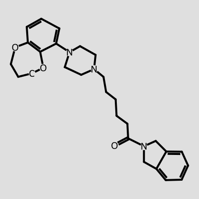 O=C(CCCCCN1CCN(c2cccc3c2OCCCO3)CC1)N1Cc2ccccc2C1